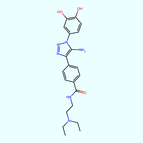 CCN(CC)CCNC(=O)c1ccc(-c2nnn(-c3ccc(O)c(O)c3)c2N)cc1